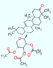 CC(=O)OC1C(OC(C)=O)[C@H](OC(C)=O)CO[C@H]1C[C@@]12CCC3C(=CCC4[C@@]3(C)CCC3C(C)(C)C(=O)CC[C@@]34C)C1CC(C)(C)CC2